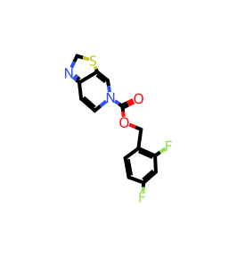 O=C(OCc1ccc(F)cc1F)N1C=CC2=NCSC2=C1